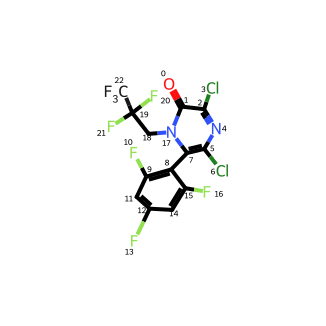 O=c1c(Cl)nc(Cl)c(-c2c(F)cc(F)cc2F)n1CC(F)(F)C(F)(F)F